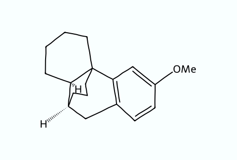 COc1ccc2c(c1)C13CCCC[C@@H]1[C@@H](CCC3)C2